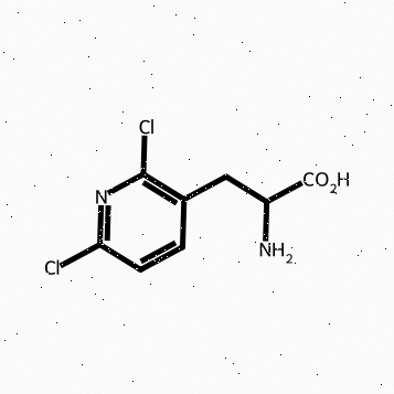 NC(Cc1ccc(Cl)nc1Cl)C(=O)O